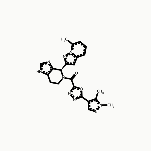 Cc1c(-c2nnc(C(=O)N3CCc4[nH]cnc4[C@H]3c3cc4cccc(C)n4n3)o2)cnn1C